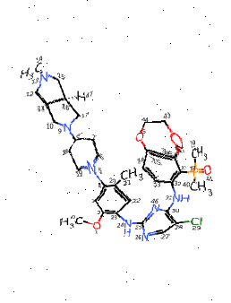 COc1cc(N2CCC(N3CC4CN(C)C[C@H]4C3)CC2)c(C)cc1Nc1ncc(Cl)c(Nc2ccc3c(c2P(C)(C)=O)OCCO3)n1